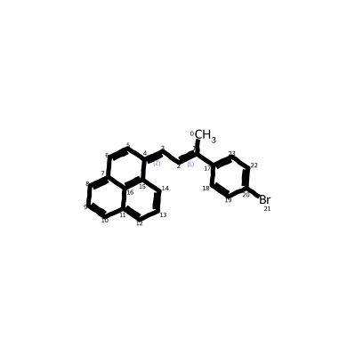 C/C(=C\C=c1\ccc2cccc3cccc1c32)c1ccc(Br)cc1